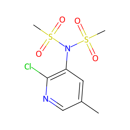 Cc1cnc(Cl)c(N(S(C)(=O)=O)S(C)(=O)=O)c1